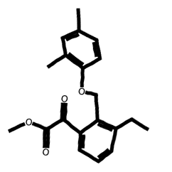 CCc1cccc(C(=O)C(=O)OC)c1COc1ccc(C)cc1C